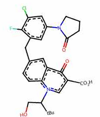 CC(C)(C)C(CO)n1cc(C(=O)O)c(=O)c2cc(Cc3cc(N4CCCC4=O)cc(Cl)c3F)ccc21